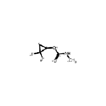 CNC(=O)OC1CC1(F)F